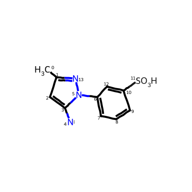 Cc1cc([N])n(-c2cccc(S(=O)(=O)O)c2)n1